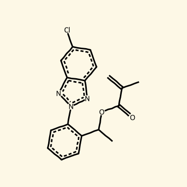 C=C(C)C(=O)OC(C)c1ccccc1-n1nc2ccc(Cl)cc2n1